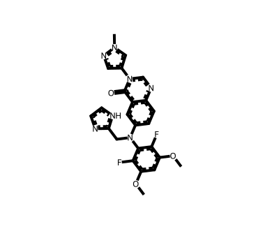 COc1cc(OC)c(F)c(N(Cc2ncc[nH]2)c2ccc3ncn(-c4cnn(C)c4)c(=O)c3c2)c1F